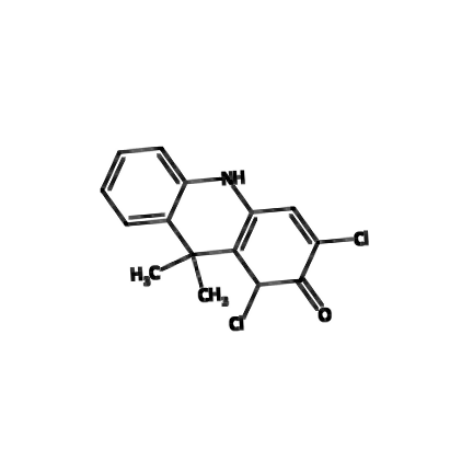 CC1(C)C2=C(C=C(Cl)C(=O)C2Cl)Nc2ccccc21